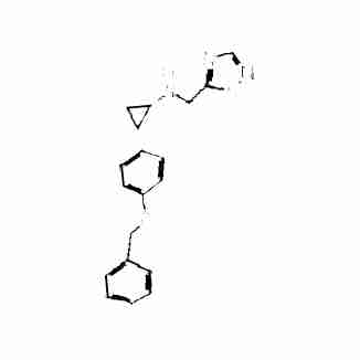 c1ccc(COc2ccc([C@@H]3C[C@H]3NCc3ncns3)cc2)cc1